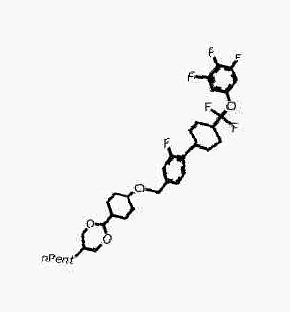 CCCCCC1COC(C2CCC(OCc3ccc(C4CCC(C(F)(F)Oc5cc(F)c(F)c(F)c5)CC4)c(F)c3)CC2)OC1